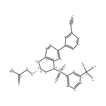 N#Cc1cccc(-c2ccc3c(c2)N(S(=O)(=O)c2cccc(C(F)(F)F)c2)C[C@H](CCC(=O)O)O3)c1